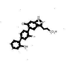 O=C(O)CCc1n[nH]c2cc(Cl)c(-c3ccc(-c4ccccc4O)cc3F)cc12